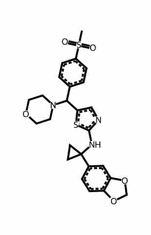 CS(=O)(=O)c1ccc(C(c2cnc(NC3(c4ccc5c(c4)OCO5)CC3)s2)N2CCOCC2)cc1